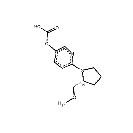 COC[C@H]1CCCN1c1ncc(OC(=O)O)cn1